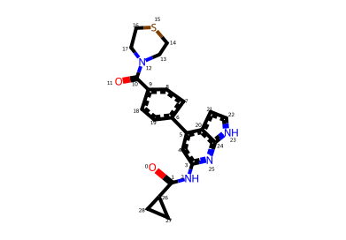 O=C(Nc1cc(-c2ccc(C(=O)N3CCSCC3)cc2)c2cc[nH]c2n1)C1CC1